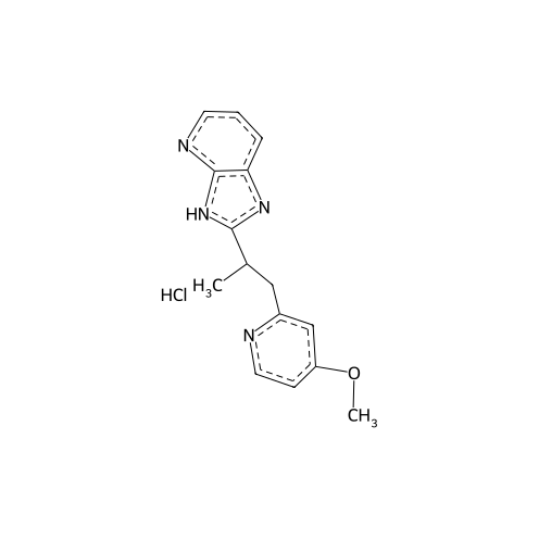 COc1ccnc(CC(C)c2nc3cccnc3[nH]2)c1.Cl